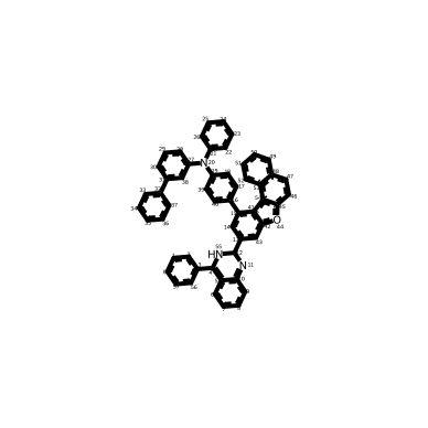 c1ccc(C2=c3ccccc3=NC(c3cc(-c4ccc(N(c5ccccc5)c5cccc(-c6ccccc6)c5)cc4)c4c(c3)oc3ccc5ccccc5c34)N2)cc1